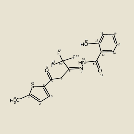 Cc1ccc(C(=O)C/C(=N/NC(=O)c2ccccc2O)C(F)(F)F)s1